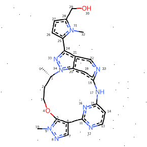 C[C@H]1CCOc2c(cnn2C)-c2nccc(n2)Nc2cc3c(cn2)c(-c2ccc(CO)n2C)nn31